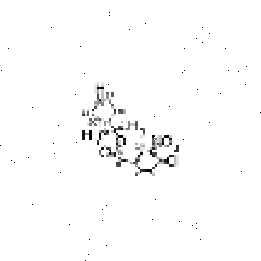 CC(C)(OC(=O)Cc1ccc(Cl)c([N+](=O)[O-])c1)C1CCNCC1